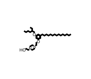 CCCCCCCCCCCCCCCc1cc(OCCN2CCN(CCO)CC2)cc(OCC(CC)CCCC)c1